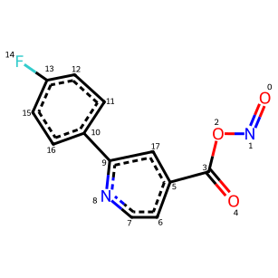 O=NOC(=O)c1ccnc(-c2ccc(F)cc2)c1